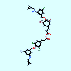 Cc1cc(COc2c(Cl)cc(CCC(=O)OC(=O)CCc3cc(Br)c(OCc4cc(Cl)cc(NCC5CC5)c4)c(Br)c3)cc2Cl)cc(NCC2CC2)c1